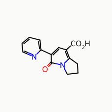 O=C(O)c1cc(-c2ccccn2)c(=O)n2c1CCC2